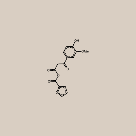 COc1cc(C(=O)CC(=O)OC(=O)c2ccco2)ccc1O